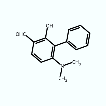 CN(C)c1ccc(C=O)c(O)c1-c1ccccc1